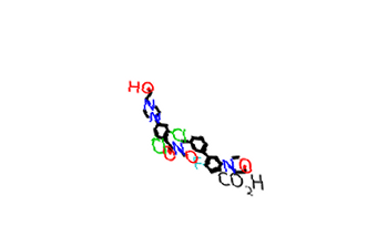 O=C(O)c1cc(F)c(-c2cccc3c2OCN(C(=O)c2c(Cl)cc(N4CCN(CCO)CC4)cc2Cl)C3)cc1N1CCOCC1